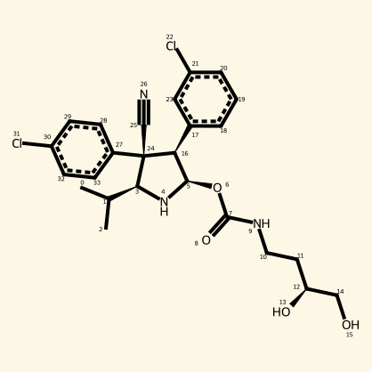 CC(C)[C@@H]1N[C@H](OC(=O)NCC[C@H](O)CO)[C@H](c2cccc(Cl)c2)[C@@]1(C#N)c1ccc(Cl)cc1